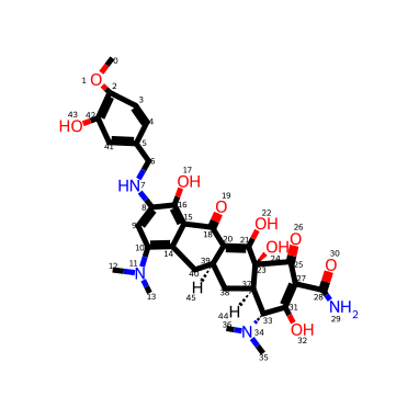 COc1ccc(CNc2cc(N(C)C)c3c(c2O)C(=O)C2=C(O)[C@]4(O)C(=O)C(C(N)=O)=C(O)[C@H](N(C)C)[C@H]4C[C@H]2C3)cc1O